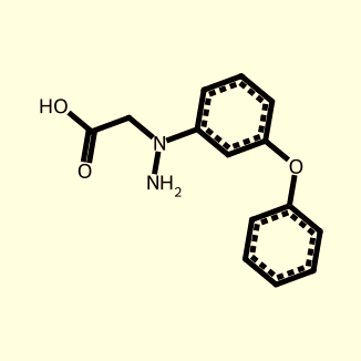 NN(CC(=O)O)c1cccc(Oc2ccccc2)c1